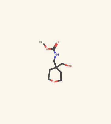 CC(C)(C)OC(=O)NCC1(CO)CCOCC1